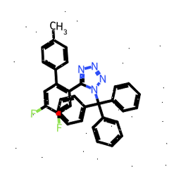 Cc1ccc(-c2cc(F)c(F)cc2-c2nnnn2C(c2ccccc2)(c2ccccc2)c2ccccc2)cc1